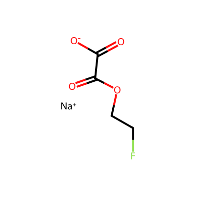 O=C([O-])C(=O)OCCF.[Na+]